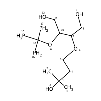 CC(C)(O)CCOC(CO)C(CO)OC(P)(P)P